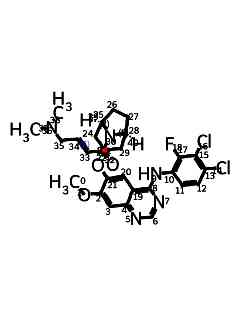 COc1cc2ncnc(Nc3ccc(Cl)c(Cl)c3F)c2cc1O[C@@H]1C[C@H]2CC[C@@H](C1)N2C(=O)/C=C/CN(C)C